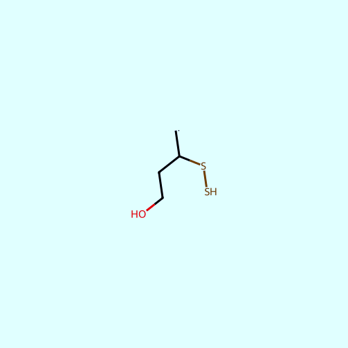 [CH2]C(CCO)SS